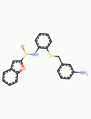 Nc1cccc(CSc2ccccc2N[S+]([O-])c2cc3ccccc3o2)c1